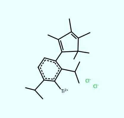 CC1=C(C)C(C)(C)C(c2ccc(C(C)C)[c]([Ti+2])c2C(C)C)=C1C.[Cl-].[Cl-]